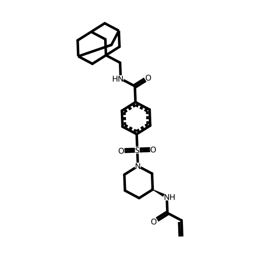 C=CC(=O)N[C@H]1CCCN(S(=O)(=O)c2ccc(C(=O)NCC34CC5CC(CC(C5)C3)C4)cc2)C1